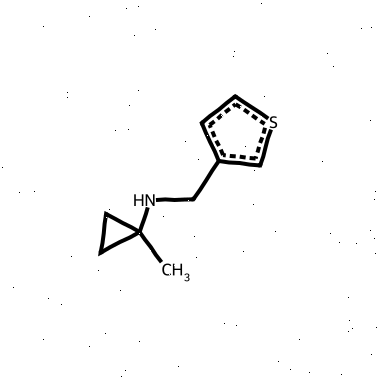 CC1(NCc2ccsc2)CC1